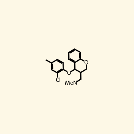 CNCC1COc2ccccc2C1Oc1ccc(C)cc1Cl